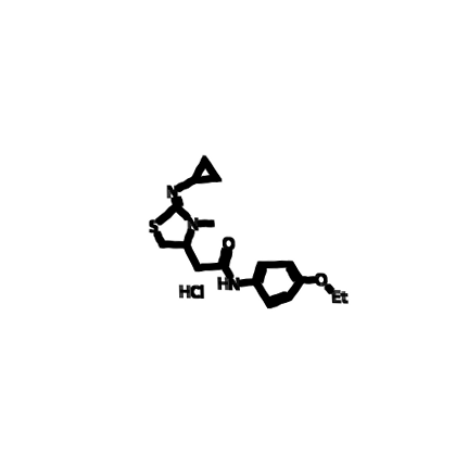 CCOc1ccc(NC(=O)CC2CSC(=NC3CC3)N2C)cc1.Cl